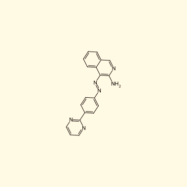 Nc1ncc2ccccc2c1/N=N/c1ccc(-c2ncccn2)cc1